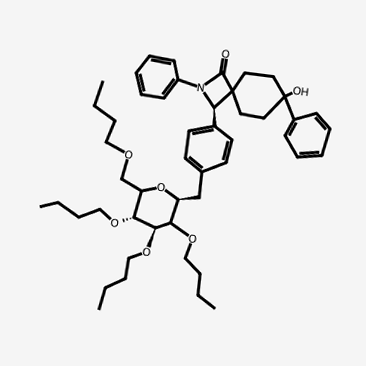 CCCCOCC1O[C@@H](Cc2ccc([C@H]3N(c4ccccc4)C(=O)C34CCC(O)(c3ccccc3)CC4)cc2)C(OCCCC)[C@@H](OCCCC)[C@@H]1OCCCC